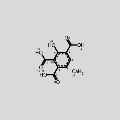 O=C(O)c1ccc(C(=O)O)c(C(=O)O)c1O.[CaH2]